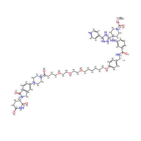 C[C@@H](NC(=O)c1cccc(NC2(c3nnc(-c4ccncc4)[nH]3)CCN(C(=O)OC(C)(C)C)CC2)c1)c1ccc(OCCCCCCOCCOCCOCCCC(=O)N2CCN(c3ccc4c(c3)CN(C3CCC(=O)NC3=O)C4=O)CC2)cc1